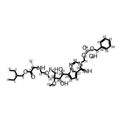 CCC(CC)COC(=O)[C@H](C)NCOC[C@@](CF)(OC)[C@@H](O)[C@@H](O)c1ccc2c(=N)n(COP(=O)(O)OCc3ccccc3)cnn12